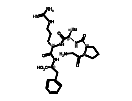 CC[C@H](C)[C@H](NC(=O)[C@@H]1CCCN1C(=O)CN)C(=O)N[C@@H](CCCNC(=N)N)C(=O)N[C@@H](Cc1ccccc1)C(=O)O